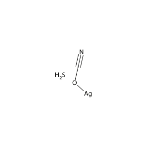 N#C[O][Ag].S